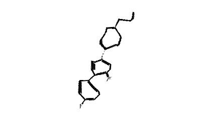 CCC[C@H]1CC[C@H](c2ccc(-c3ccc(F)cc3)c(F)c2)CC1